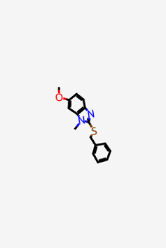 COc1ccc2nc(SCc3ccccc3)n(C)c2c1